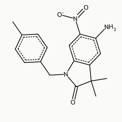 Cc1ccc(CN2C(=O)C(C)(C)c3cc(N)c([N+](=O)[O-])cc32)cc1